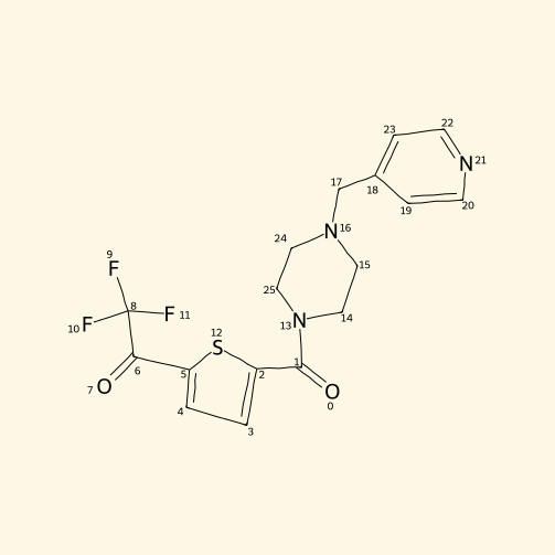 O=C(c1ccc(C(=O)C(F)(F)F)s1)N1CCN(Cc2ccncc2)CC1